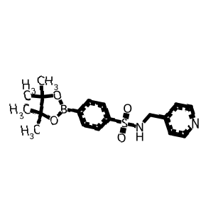 CC1(C)OB(c2ccc(S(=O)(=O)NCc3ccncc3)cc2)OC1(C)C